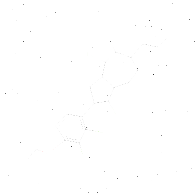 CCCC1CCC2C(F)C(c3ccc(OCC)c(F)c3F)CC2C(F)C1F